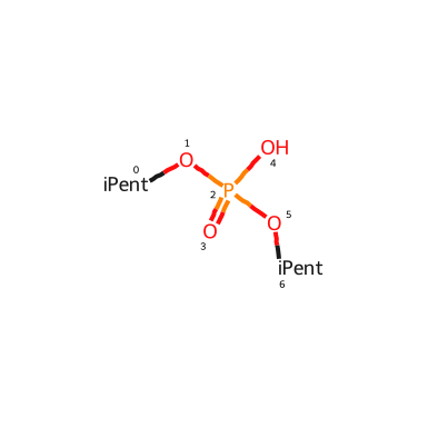 CCCC(C)OP(=O)(O)OC(C)CCC